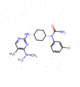 Cc1cnc(N[C@H]2CC[C@@H](N(C(N)=O)c3cccc(Cl)c3)CC2)nc1N(C)C